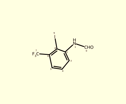 O=CNc1cccc(C(F)(F)F)c1I